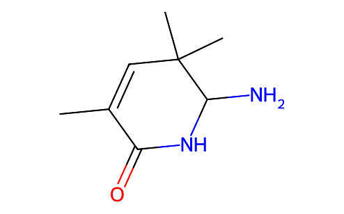 CC1=CC(C)(C)C(N)NC1=O